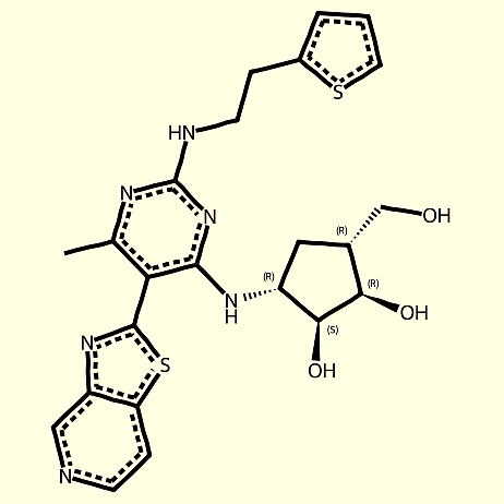 Cc1nc(NCCc2cccs2)nc(N[C@@H]2C[C@H](CO)[C@@H](O)[C@H]2O)c1-c1nc2cnccc2s1